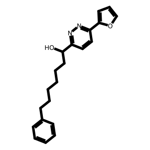 OC(CCCCCCc1ccccc1)c1ccc(-c2ccco2)nn1